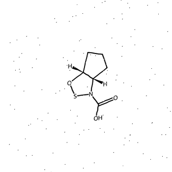 O=C(O)N1SO[C@@H]2CCC[C@@H]21